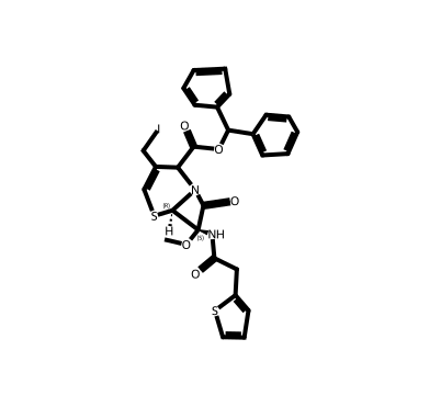 CO[C@@]1(NC(=O)Cc2cccs2)C(=O)N2C(C(=O)OC(c3ccccc3)c3ccccc3)C(CI)=CS[C@@H]21